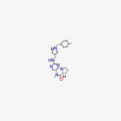 Cc1ccc(Cn2cc(CNc3ncc4c(n3)N3CCC[C@H]3C(=O)N4C)cn2)cc1